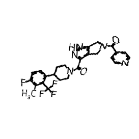 Cc1c(F)ccc(C2CCN(C(=O)c3n[nH]c4c3CN(C(=O)c3ccncc3)C4)CC2)c1C(F)(F)F